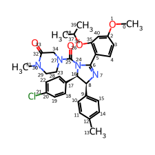 COc1ccc(C2=N[C@@H](c3ccc(C)cc3)[C@@H](c3ccc(Cl)cc3)N2C(=O)N2CCN(C)C(=O)C2)c(OC(C)C)c1